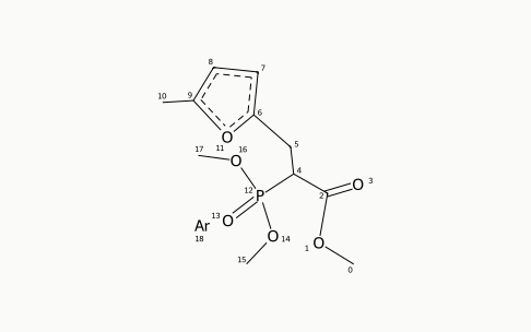 COC(=O)C(Cc1ccc(C)o1)P(=O)(OC)OC.[Ar]